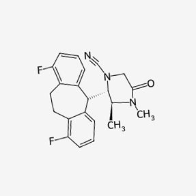 C[C@H]1[C@H](C2c3cccc(F)c3CCc3c(F)cccc32)N(C#N)CC(=O)N1C